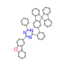 c1ccc(-c2nc(-c3ccc4oc5ccccc5c4c3)nc(-c3ccccc3-c3ccc4c(c3)C3(c5ccccc5-c5ccccc53)c3ccccc3-4)n2)cc1